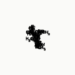 COc1nc(C)c(-c2nc3n(CC(=O)Nc4ccc(C(F)(F)F)cc4Cl)c4c(c(=O)n3n2)C2(CCN(C(=O)c3ncnc(C)c3O)CC2)CC4C)s1